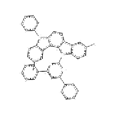 Cc1ccc2c(c1)c1c(ccc3c4cc(C)ccc4n(-c4nc(-c5ccccc5)cc(-c5ccccc5)n4)c31)n2-c1ccccc1